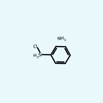 Cl[SiH2]c1ccccc1.N